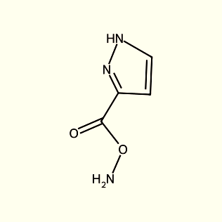 NOC(=O)c1cc[nH]n1